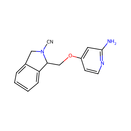 N#CN1Cc2ccccc2C1COc1ccnc(N)c1